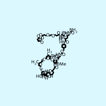 C=C1CC2CC[C@]34C[C@@H](O)[C@H](O3)[C@@H]3O[C@H]5CCC(CC(=O)C[C@H]6C(CC7OC(CCC1O2)C[C@@H](C)C7=C)O[C@H](C[C@H](O)CNC(=O)OCc1ccc(NC(=O)C(CCCNC(N)=O)NC(=O)[C@@H](NC(=O)CCOCCOCCC(=O)ON2C(=O)C=CC2=O)C(C)C)cc1)[C@@H]6OC)O[C@@H]5[C@H](O4)[C@@H]3I